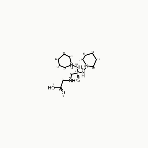 O=C(O)CNCP(=S)(NN1CCCCC1)NN1CCCCC1